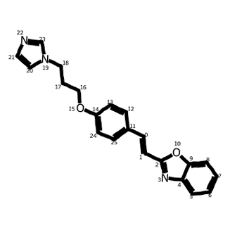 C(=C\c1nc2ccccc2o1)/c1ccc(OCCCn2ccnc2)cc1